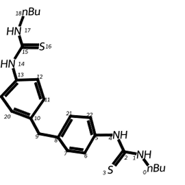 CCCCNC(=S)Nc1ccc(Cc2ccc(NC(=S)NCCCC)cc2)cc1